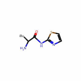 CCC(C)C(N)C(=O)Nc1nccs1